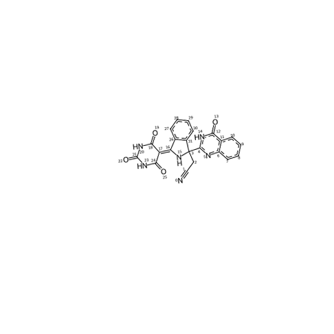 N#CCC1(c2nc3ccccc3c(=O)[nH]2)NC(=C2C(=O)NC(=O)NC2=O)c2ccccc21